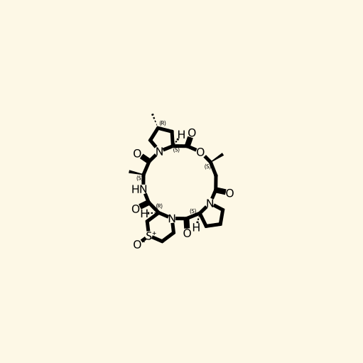 C[C@@H]1C[C@H]2C(=O)O[C@@H](C)CC(=O)N3CCC[C@H]3C(=O)N3CC[S+]([O-])C[C@H]3C(=O)N[C@@H](C)C(=O)N2C1